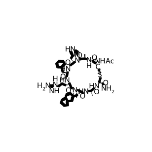 CC(=O)N[C@H]1CSSC[C@@H](C(N)=O)NC(=O)[C@H](C)NC(=O)[C@H](Cc2ccc3ccccc3c2)NC(=O)[C@H](CCCNC(=N)N)NC(=O)[C@@H](Cc2ccccc2)NC(=O)[C@H](Cc2c[nH]cn2)NC(=O)[C@@H](C)NC1=O